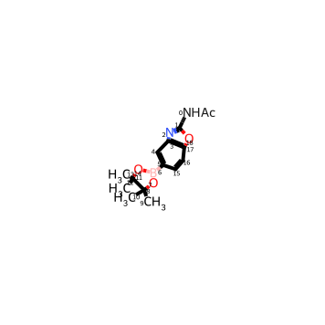 CC(=O)Nc1nc2cc(B3OC(C)(C)C(C)(C)O3)ccc2o1